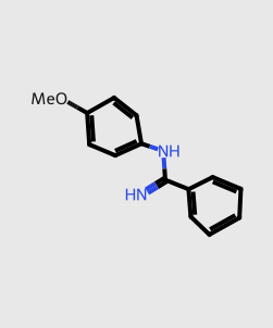 COc1ccc(NC(=N)c2ccccc2)cc1